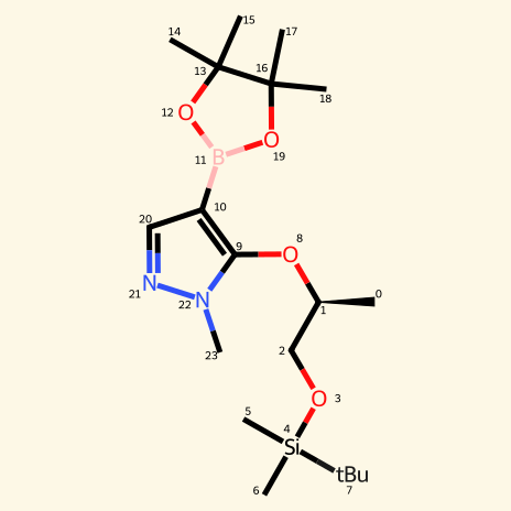 C[C@@H](CO[Si](C)(C)C(C)(C)C)Oc1c(B2OC(C)(C)C(C)(C)O2)cnn1C